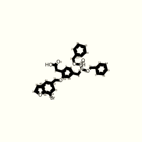 O=C(O)Cc1ccc(CN(OCc2ccccc2)[PH](=O)OCc2ccccc2)cc1OCc1cc(Br)c2occc2c1